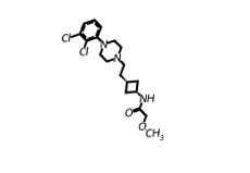 COCC(=O)N[C@H]1C[C@@H](CCN2CCN(c3cccc(Cl)c3Cl)CC2)C1